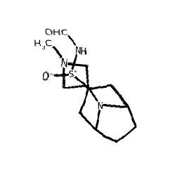 CN1CC(N2C3CCC2CC([S+]([O-])NC=O)C3)C1